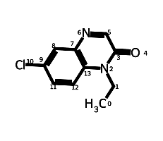 CCn1c(=O)cnc2cc(Cl)ccc21